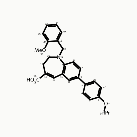 CCCOc1ccc(-c2ccc3c(c2)C=C(C(=O)O)CCN3Cc2ccccc2OC)cc1